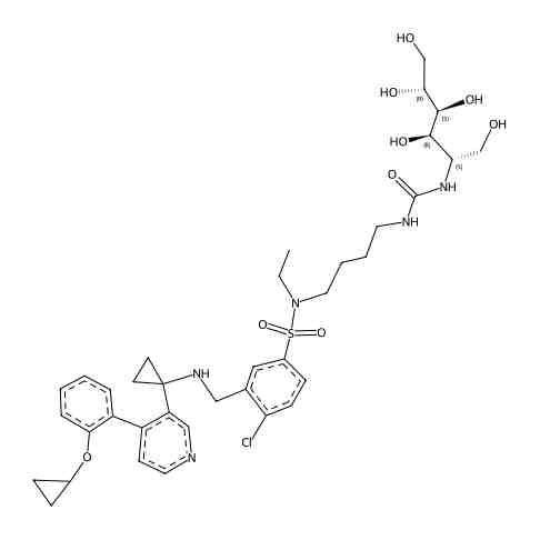 CCN(CCCCNC(=O)N[C@@H](CO)[C@@H](O)[C@H](O)[C@H](O)CO)S(=O)(=O)c1ccc(Cl)c(CNC2(c3cnccc3-c3ccccc3OC3CC3)CC2)c1